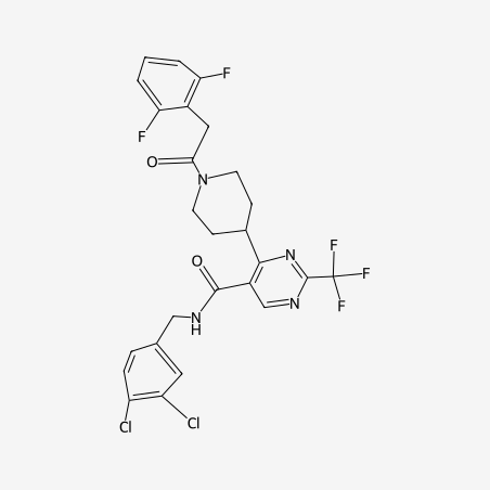 O=C(NCc1ccc(Cl)c(Cl)c1)c1cnc(C(F)(F)F)nc1C1CCN(C(=O)Cc2c(F)cccc2F)CC1